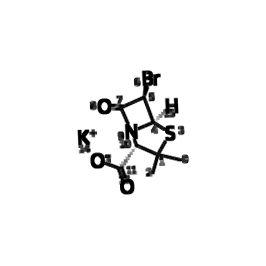 CC1(C)S[C@@H]2[C@H](Br)C(=O)N2[C@H]1C(=O)[O-].[K+]